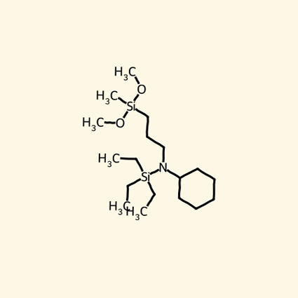 CC[Si](CC)(CC)N(CCC[Si](C)(OC)OC)C1CCCCC1